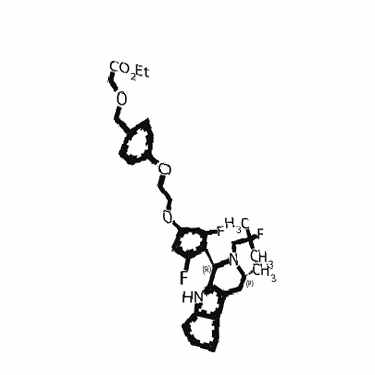 CCOC(=O)COCc1ccc(OCCOc2cc(F)c([C@@H]3c4[nH]c5ccccc5c4C[C@@H](C)N3CC(C)(C)F)c(F)c2)cc1